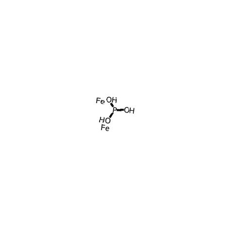 OP(O)O.[Fe].[Fe]